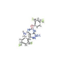 CN(C)c1nc(Oc2ccc(F)cc2F)nc2[nH]nc(-c3ccc(F)cc3F)c12